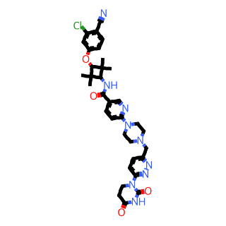 CC1(C)C(NC(=O)c2ccc(N3CCN(Cc4ccc(N5CCC(=O)NC5=O)nn4)CC3)nc2)C(C)(C)C1Oc1ccc(C#N)c(Cl)c1